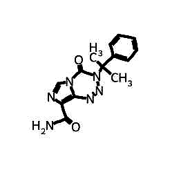 CC(C)(c1ccccc1)n1nnc2c(C(N)=O)ncn2c1=O